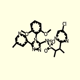 COc1cccc(OC)c1-n1c(NS(=O)(=O)C(C)C(C)c2ncc(Cl)cn2)nnc1-c1cncc(C)c1